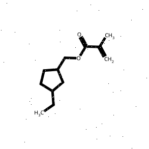 C=C(C)C(=O)OCC1CCC(CC)C1